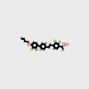 C=CCCOc1ccc(-c2ccc(/C=C/c3ccc(C(C)O)c(F)c3F)cc2)c(F)c1F